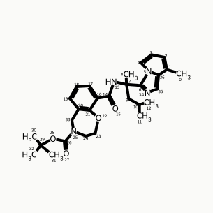 Cc1cccn2c(C(C)(CC(C)C)NC(=O)c3cccc4c3OCCN(C(=O)OC(C)(C)C)C4)ncc12